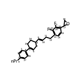 CCCc1ccc(C2=CCC(/C=C/CCc3ccc(C4CO4)c(F)c3F)CC2)cc1